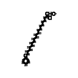 O=[C]C(Cl)CCCCCCCCCCCCCCCCCCOC1CC[CH]CC1